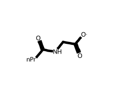 CCCC(=O)NCC([O])=O